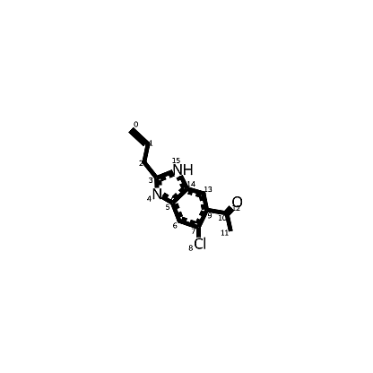 C=CCc1nc2cc(Cl)c(C(C)=O)cc2[nH]1